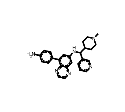 CN1CCC(C(Nc2cc(-c3ccc(N)cc3)c3nccnc3c2)c2cccnc2)CC1